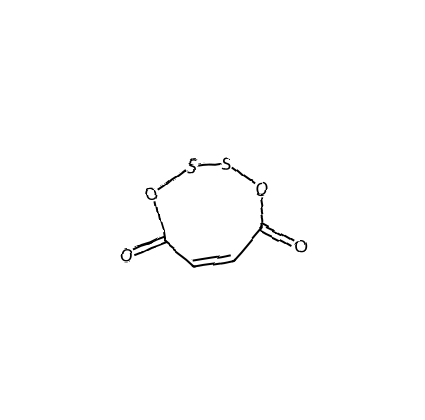 O=c1ccc(=O)osso1